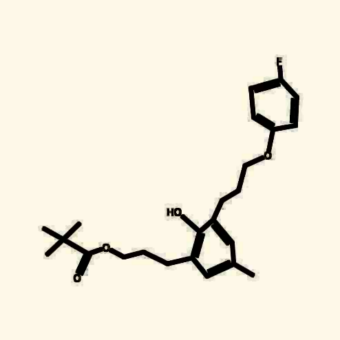 Cc1cc(CCCOC(=O)C(C)(C)C)c(O)c(CCCOc2ccc(F)cc2)c1